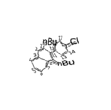 CCCCc1cc2ccccc2c(CCCC)c1-c1ccc(Cl)cc1